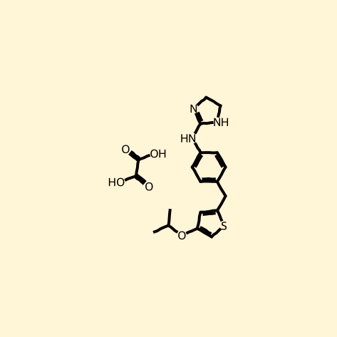 CC(C)Oc1csc(Cc2ccc(NC3=NCCN3)cc2)c1.O=C(O)C(=O)O